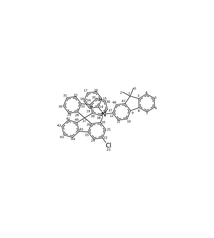 CC1(C)c2ccccc2-c2ccc(N(c3ccccc3)c3cc(Cl)cc4c3C3(c5ccccc5-c5ccccc53)c3ccccc3-4)cc21